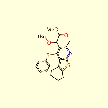 COC(=O)C(OC(C)(C)C)c1c(C)nc2sc3c(c2c1Sc1ccccc1)CCCC3